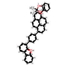 CC1(C)OC2C3C=CC(C(c4ccc5ccc6c(-c7ccc(-c8cccc9c8oc8ccccc89)cc7)ccc7ccc4c5c76)=C3)C2O1